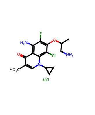 CC(CN)Oc1c(F)c(N)c2c(=O)c(C(=O)O)cn(C3CC3)c2c1Cl.Cl